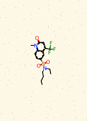 CCCCN(CC)S(=O)(=O)c1ccc2c(c1)c(C(F)(F)F)cc(=O)n2C